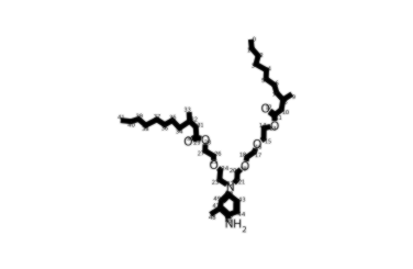 CCCCCCCCC(C)CC(=O)OCCOCCOCCN(CCOCCOC(=O)CC(C)CCCCCCCC)c1ccc(N)c(C)c1